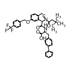 CC(C)(C)CC(=O)N1CCc2ccc(OCc3ccc(C(F)(F)F)cc3)cc2C1C(=O)N[C@@H](Cc1ccc(-c2ccccc2)cc1)C(=O)O